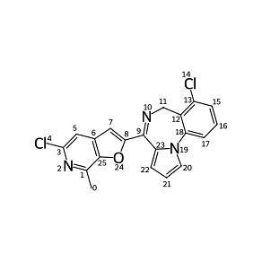 Cc1nc(Cl)cc2cc(C3=NCc4c(Cl)cccc4-n4cccc43)oc12